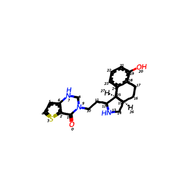 O=C1c2sccc2NCN1CCC1NC[C@@H]2CCc3c(O)cccc3[C@H]12